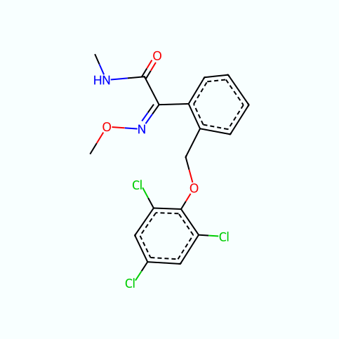 CNC(=O)C(=NOC)c1ccccc1COc1c(Cl)cc(Cl)cc1Cl